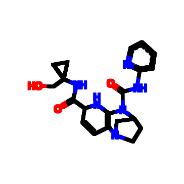 O=C(NC1(CO)CC1)C1C=CC2=C(N1)N(C(=O)Nc1ccccn1)C1CCN2C1